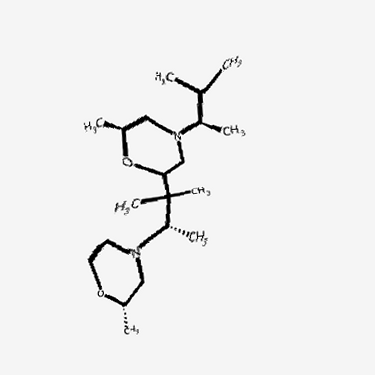 CC(C)[C@@H](C)N1CC(C(C)(C)[C@H](C)N2CCO[C@@H](C)C2)O[C@@H](C)C1